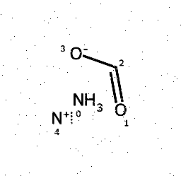 N.O=C[O-].[N+]